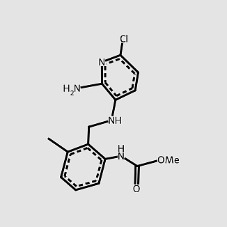 COC(=O)Nc1cccc(C)c1CNc1ccc(Cl)nc1N